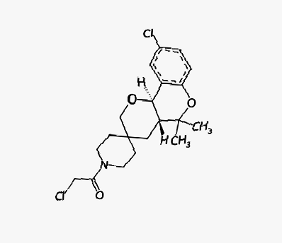 CC1(C)Oc2ccc(Cl)cc2[C@@H]2OCC3(CCN(C(=O)CCl)CC3)C[C@H]21